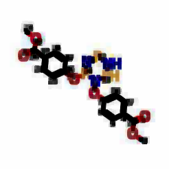 COC(=O)c1ccc(On2[pH][nH]pnp2Oc2ccc(C(=O)OC)cc2)cc1